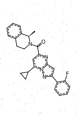 C[C@@H]1c2ccccc2CCN1C(=O)c1cc(C2CC2)n2nc(-c3ccccc3F)cc2n1